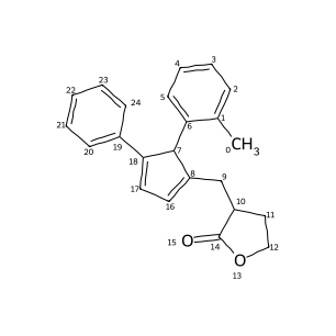 Cc1ccccc1C1C(CC2CCOC2=O)=CC=C1c1ccccc1